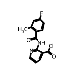 Cc1cc(F)ccc1C(=O)Nc1ncccc1C(=O)Cl